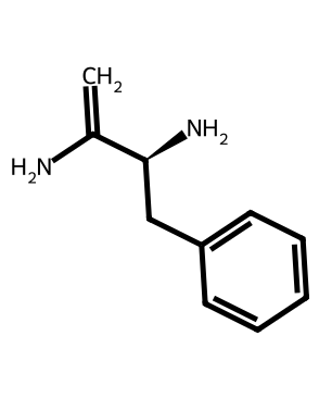 C=C(N)[C@@H](N)Cc1ccccc1